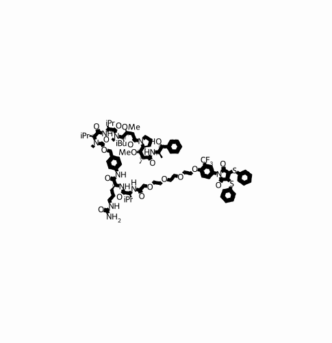 CCC(C)[C@@H]([C@@H](CC(=O)N1CCC[C@H]1[C@H](OC)[C@@H](C)C(=O)N[C@H](C)[C@@H](O)c1ccccc1)OC)N(C)C(=O)[C@@H](NC(=O)[C@H](C(C)C)N(C)C(=O)OCc1ccc(NC(=O)[C@H](CCCNC(N)=O)NC(=O)[C@@H](NC(=O)COCCOCCOCCOc2ccc(N3C(=O)C(Sc4ccccc4)=C(Sc4ccccc4)C3=O)cc2C(F)(F)F)C(C)C)cc1)C(C)C